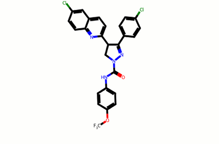 O=C(Nc1ccc(OC(F)(F)F)cc1)N1CC(c2ccc3cc(Cl)ccc3n2)C(c2ccc(Cl)cc2)=N1